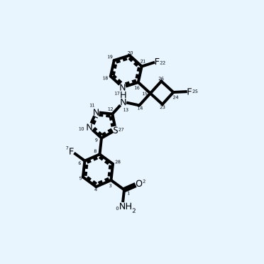 NC(=O)c1ccc(F)c(-c2nnc(NCC3(c4ncccc4F)CC(F)C3)s2)c1